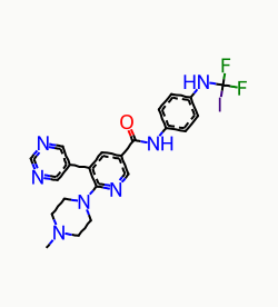 CN1CCN(c2ncc(C(=O)Nc3ccc(NC(F)(F)I)cc3)cc2-c2cncnc2)CC1